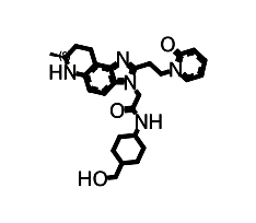 C[C@H]1CCc2c(ccc3c2nc(CCn2ccccc2=O)n3CC(=O)NC2CCC(CO)CC2)N1